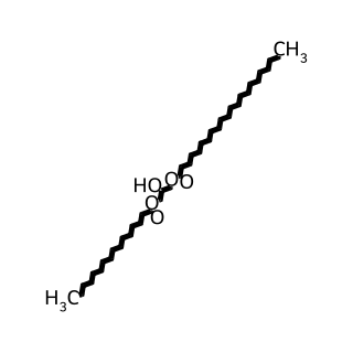 CCCCCCCCCCCCCCCCCCCCCC(=O)OCC(O)COC(=O)CCCCCCCCCCCCCCC